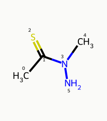 CC(=S)N(C)N